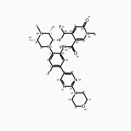 C[C@@H]1CN(c2cc(F)c(-c3cnc(N4CCOCC4)nc3)cc2NC(=O)c2cn(C)c(=O)cc2C(F)F)C[C@H](C)N1C